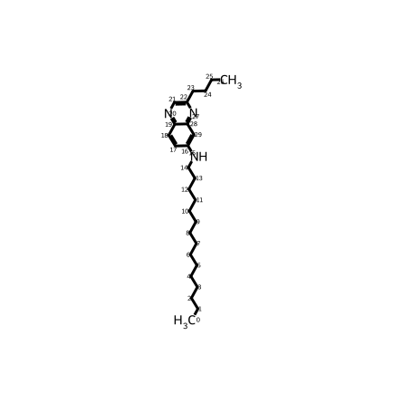 CCCCCCCCCCCCCCCNc1ccc2ncc(CCCC)nc2c1